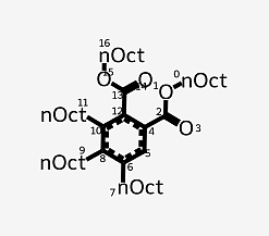 CCCCCCCCOC(=O)c1cc(CCCCCCCC)c(CCCCCCCC)c(CCCCCCCC)c1C(=O)OCCCCCCCC